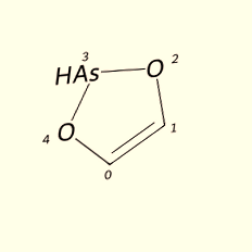 C1=CO[AsH]O1